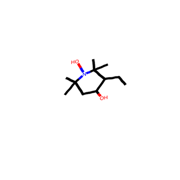 CCC1C(O)CC(C)(C)N(O)C1(C)C